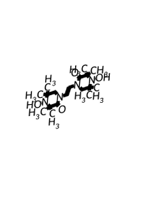 CC1(C)CN(C=CN2CC(C)(C)N(O)C(C)(C)C2=O)C(=O)C(C)(C)N1O